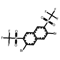 O=S(=O)(c1cc2cc(S(=O)(=O)C(F)(F)F)c(Br)cc2cc1Br)C(F)(F)F